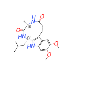 COc1cc2[nH]c3c(c2cc1OC)CCC(=O)N[C@@H](C)C(=O)N[C@H]3CC(C)C